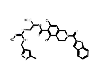 Cc1cc(CN/C(=N\C#N)NC[C@H](NC(=O)c2c(Cl)cc3c(c2Cl)CCN(C(=O)c2cc4ccccc4o2)C3)C(=O)O)no1